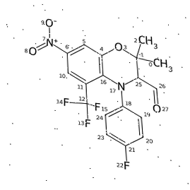 CC1(C)Oc2cc([N+](=O)[O-])cc(C(F)(F)F)c2N(c2ccc(F)cc2)C1C=O